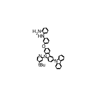 CC(C)(C)c1ccnc(-n2c3ccc(-n4c5ccccc5c5ccccc54)cc3c3ccc(Oc4cccc(Nc5ccccc5N)c4)cc32)c1